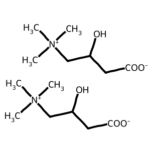 C[N+](C)(C)CC(O)CC(=O)[O-].C[N+](C)(C)CC(O)CC(=O)[O-]